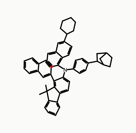 CC1(C)c2ccccc2-c2ccc(N(c3ccc(C4CC5CCC4C5)cc3)c3cccc4cc(C5CCCCC5)ccc34)c(-c3ccc4ccccc4c3)c21